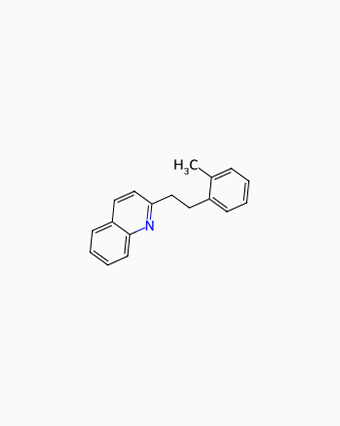 Cc1ccccc1CCc1ccc2ccccc2n1